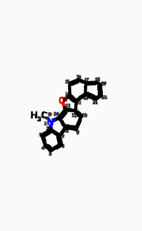 Cn1c2ccccc2c2ccc3c(oc4ccc5ccccc5c43)c21